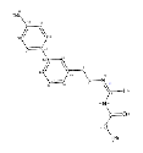 CC(C)(C)OC(=O)N/C(I)=N\CCc1cccc(-c2ccc(C(C)(C)C)cc2)c1